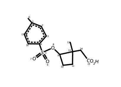 Cc1ccc(S(=O)(=O)OC2CCC2(C)CC(=O)O)cc1